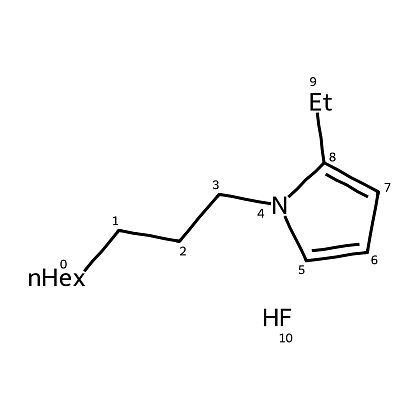 CCCCCCCCCn1cccc1CC.F